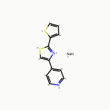 [NaH].c1csc(-c2nc(-c3ccncc3)cs2)c1